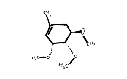 CO[C@@H]1[C@H](OC)C=C(C)C[C@H]1OC